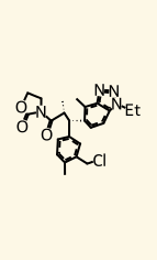 CCn1nnc2c(C)c([C@H](c3ccc(C)c(CCl)c3)[C@@H](C)C(=O)N3CCOC3=O)ccc21